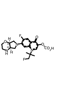 CC(C)(CF)n1cc(OC(=O)O)c(=O)c2cc(F)c(N3C[C@@H]4OCCN[C@@H]4C3)cc21